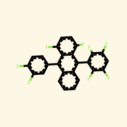 Fc1ccc(-c2c3ccccc3c(-c3c(F)c(F)cc(F)c3F)c3c(F)ccc(F)c23)cc1F